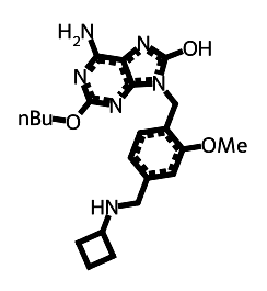 CCCCOc1nc(N)c2nc(O)n(Cc3ccc(CNC4CCC4)cc3OC)c2n1